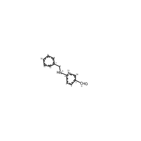 O=Cc1ccc(NCc2ccccc2)nc1